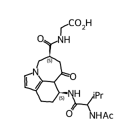 CC(=O)NC(C(=O)N[C@H]1CCc2ccn3c2C1C(=O)C[C@H](C(=O)NCC(=O)O)C3)C(C)C